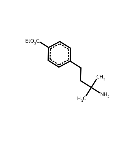 CCOC(=O)c1ccc(CCC(C)(C)N)cc1